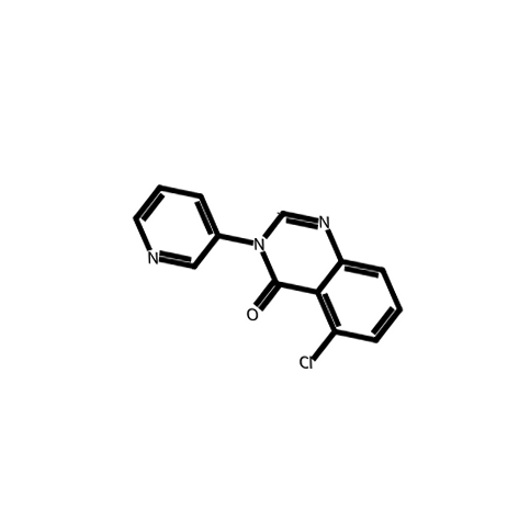 O=c1c2c(Cl)cccc2n[c]n1-c1cccnc1